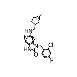 CN1CCC(CNc2ncc3[nH]c(=O)n(Cc4ccc(F)cc4Cl)c3n2)C1